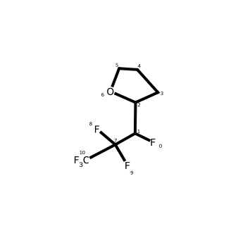 FC(C1CCCO1)C(F)(F)C(F)(F)F